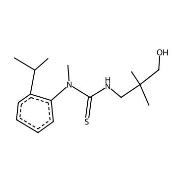 CC(C)c1ccccc1N(C)C(=S)NCC(C)(C)CO